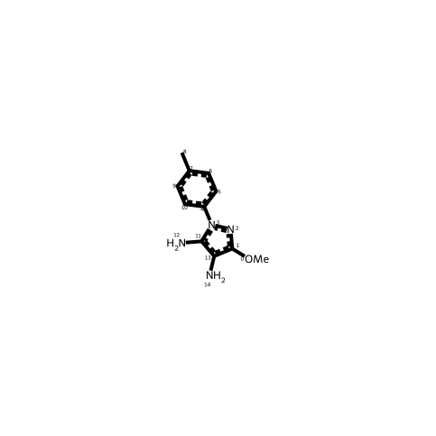 COc1nn(-c2ccc(C)cc2)c(N)c1N